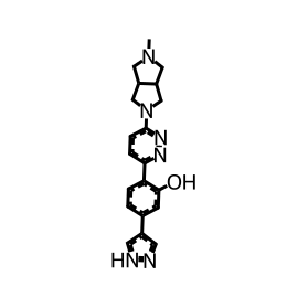 CN1CC2CN(c3ccc(-c4ccc(-c5cn[nH]c5)cc4O)nn3)CC2C1